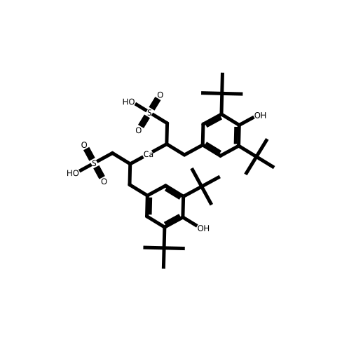 CC(C)(C)c1cc(C[CH](CS(=O)(=O)O)[Ca][CH](Cc2cc(C(C)(C)C)c(O)c(C(C)(C)C)c2)CS(=O)(=O)O)cc(C(C)(C)C)c1O